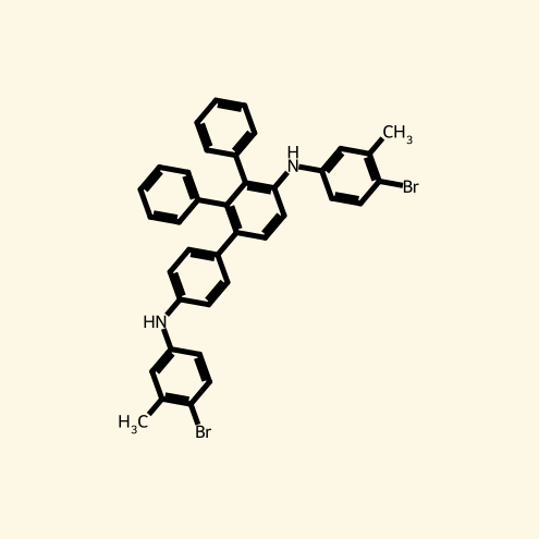 Cc1cc(Nc2ccc(-c3ccc(Nc4ccc(Br)c(C)c4)c(-c4ccccc4)c3-c3ccccc3)cc2)ccc1Br